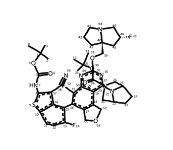 CC(C)(C)OC(=O)Nc1sc2ccc(F)c(-c3c4c(c5c(N6C7CCC6CN(C(=O)OC(C)(C)C)C7)nc(OC[C@@]67CCCN6C[C@H](F)C7)nc5c3F)COC4)c2c1C#N